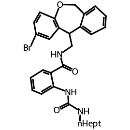 CCCCCCCNC(=O)Nc1ccccc1C(=O)NCC1c2ccccc2COc2ccc(Br)cc21